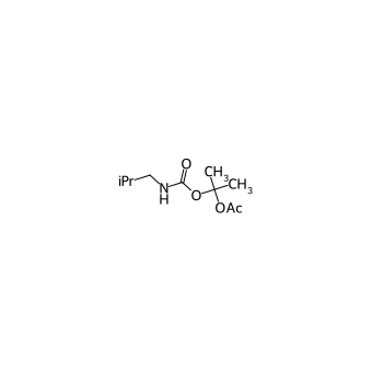 CC(=O)OC(C)(C)OC(=O)NCC(C)C